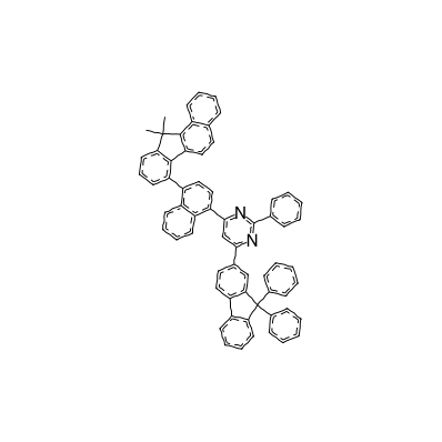 CC1(C)c2cccc(-c3ccc(-c4cc(-c5ccc6c(c5)C(c5ccccc5)(c5ccccc5)c5ccccc5-6)nc(-c5ccccc5)n4)c4ccccc34)c2-c2ccc3ccccc3c21